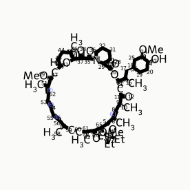 CC[Si](CC)(CC)OC1/C(C)=C/[C@@H](C)C(=O)C[C@@H]([C@H](C)C[C@@H]2CC[C@@H](O)[C@H](OC)C2)OC(=O)[C@@H]2CCCCN2C(=O)C(=O)[C@]2(O)O[C@@H](CC[C@H]2C)C[C@H](OC)/C(C)=C/C=C/C=C/[C@@H](C)CC[C@@H](C)C(=O)[C@@H]1OC